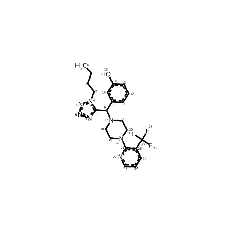 CCCCn1nnnc1C(c1cccc(O)c1)N1CCN(c2ncccc2C(F)(F)F)CC1